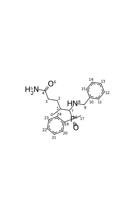 CC(CCC(N)=O)C(NCc1ccccc1)P(C)(=O)c1ccccc1